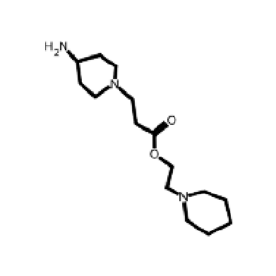 NC1CCN(CCC(=O)OCCN2CCCCC2)CC1